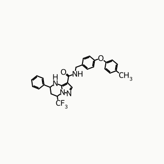 Cc1ccc(Oc2ccc(CNC(=O)c3cnn4c3NC(c3ccccc3)CC4C(F)(F)F)cc2)cc1